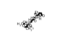 CCOC(=[SH]NC(=O)CCNC(=O)[C@@H]1OC(C)(C)OCC1(C)C)C1CCC(=O)N1